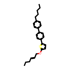 CCCC=CCOc1ccc(-c2ccc(-c3ccc(CCCCC)cc3)cc2)s1